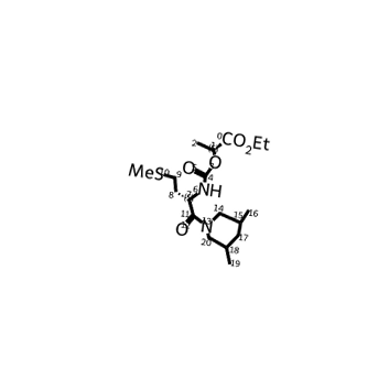 CCOC(=O)[C@H](C)OC(=O)N[C@@H](CCSC)C(=O)N1CC(C)CC(C)C1